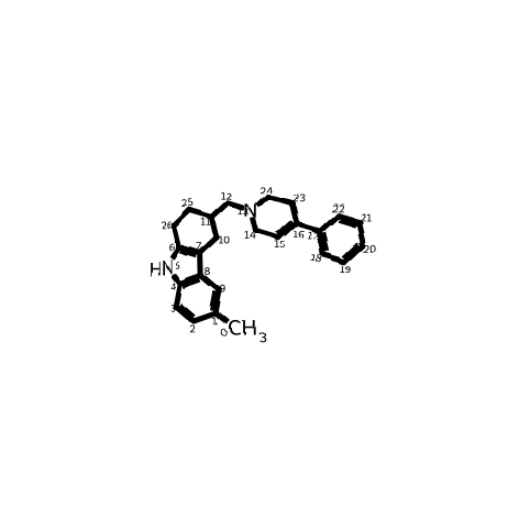 Cc1ccc2[nH]c3c(c2c1)CC(CN1CC=C(c2ccccc2)CC1)CC3